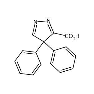 O=C(O)C1=NN=CC1(c1ccccc1)c1ccccc1